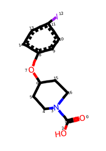 O=C(O)N1CCC(Oc2ccc(I)cc2)CC1